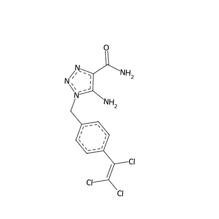 NC(=O)c1nnn(Cc2ccc(C(Cl)=C(Cl)Cl)cc2)c1N